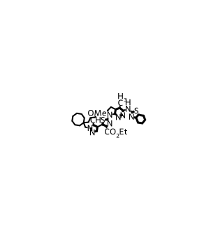 CCOC(=O)c1nc(N2CCc3c2nnc(Nc2nc4ccccc4s2)c3C)sc1-c1cnn(CC2(CCCOC)CCCCCCC2)c1C